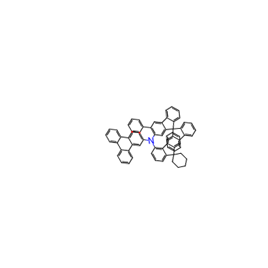 c1ccc(-c2cc3c(cc2N(c2ccc4c5ccccc5c5ccccc5c4c2)c2cccc4c2-c2ccccc2C42CCCCC2)C2(c4ccccc4-c4ccccc42)c2ccccc2-3)cc1